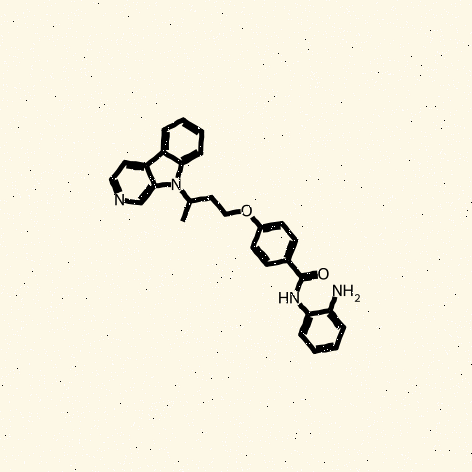 CC(CCOc1ccc(C(=O)Nc2ccccc2N)cc1)n1c2ccccc2c2ccncc21